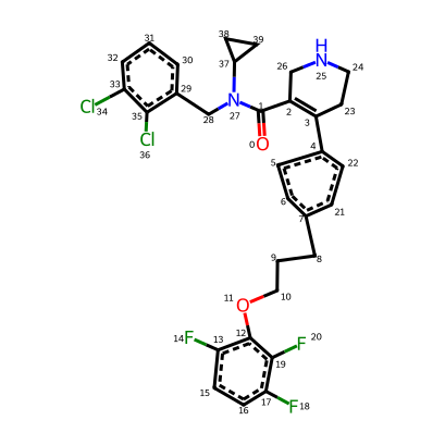 O=C(C1=C(c2ccc(CCCOc3c(F)ccc(F)c3F)cc2)CCNC1)N(Cc1cccc(Cl)c1Cl)C1CC1